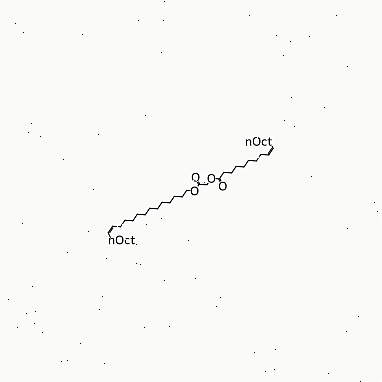 CCCCCCCC/C=C\CCCCCCCCCCCCOC(=O)COC(=O)CCCCCCC/C=C\CCCCCCCC